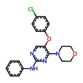 Clc1ccc(Oc2cnc(Nc3ccccc3)nc2N2CCOCC2)cc1